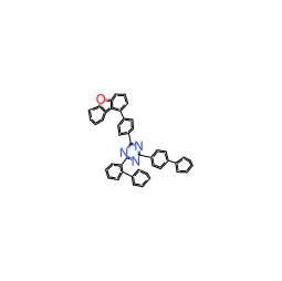 c1ccc(-c2ccc(-c3nc(-c4ccc(-c5cccc6oc7ccccc7c56)cc4)nc(-c4ccccc4-c4ccccc4)n3)cc2)cc1